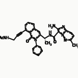 CC(=O)NCC#Cc1cccc2cc([C@@H](C)NC(=O)c3c(N)nc4ccc(C)nn34)n(-c3ccccc3)c(=O)c12